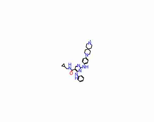 CN1CCC2(CC1)CCN(c1ccc(Nc3ncc(C(=O)NCC4CC4)c(Nc4ccccc4)n3)cc1)CC2